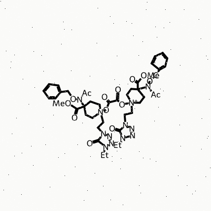 CCn1nnn(CC[N+]2(OC(=O)C(=O)O[N+]3(CCn4nnn(CC)c4=O)CCC(C(=O)OC)(N(OCc4ccccc4)C(C)=O)CC3)CCC(C(=O)OC)(N(OCc3ccccc3)C(C)=O)CC2)c1=O